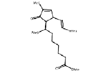 CCCCCCC=CC1C=C(SC)C(=O)C1C(CCCCCC(=O)OC)SC